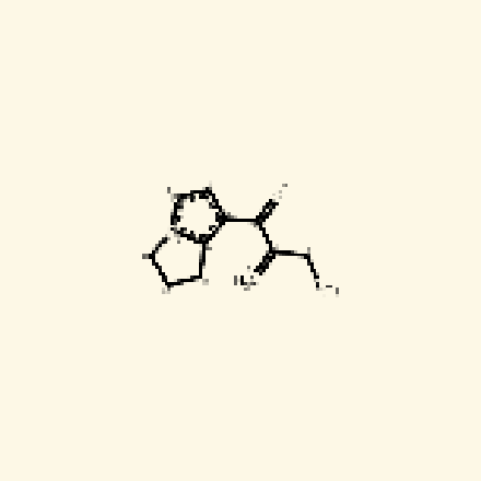 C=C(CC)C(=O)c1cnn2c1CCC2